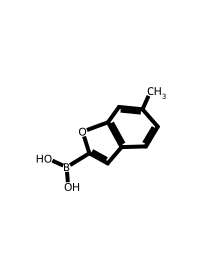 Cc1ccc2cc(B(O)O)oc2c1